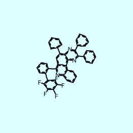 Fc1c(F)c(F)c(-c2ccccc2-c2nc3ccccc3c3c2cc(-c2ccccc2)c2nc(-c4ccccc4)c(-c4ccccc4)nc23)c(F)c1F